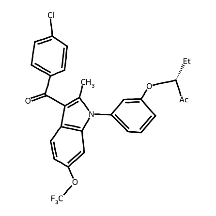 CC[C@@H](Oc1cccc(-n2c(C)c(C(=O)c3ccc(Cl)cc3)c3ccc(OC(F)(F)F)cc32)c1)C(C)=O